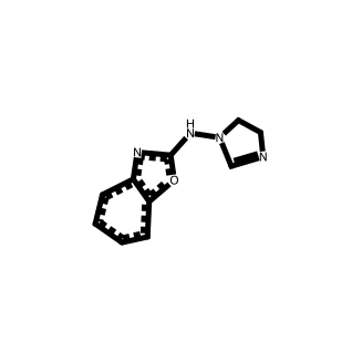 C1=NCCN1Nc1nc2ccccc2o1